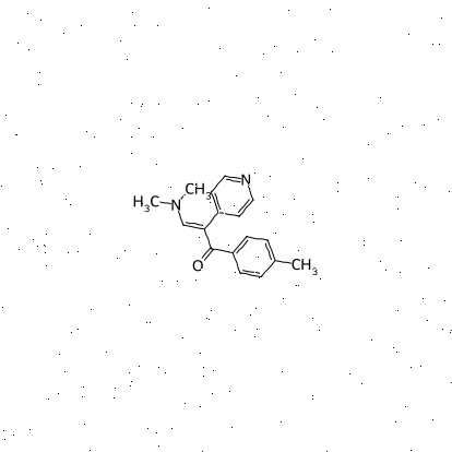 Cc1ccc(C(=O)/C(=C/N(C)C)c2ccncc2)cc1